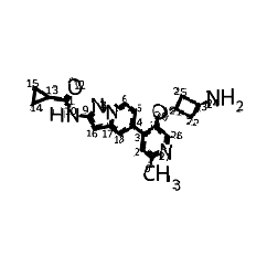 Cc1cc(-c2ccn3nc(NC(=O)C4CC4)cc3c2)c(O[C@H]2C[C@H](N)C2)cn1